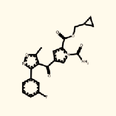 Cc1onc(-c2cccc(F)c2)c1C(=O)c1cc(C(=O)OCC2CC2)n(C(N)=O)c1